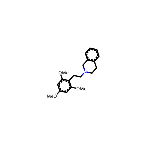 COc1cc(OC)c(CCN2CCc3ccccc3C2)c(OC)c1